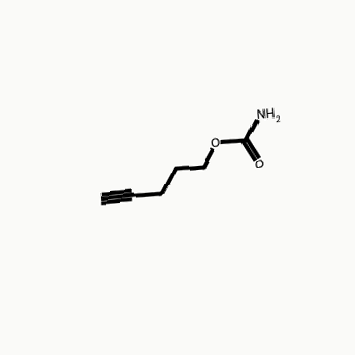 C#CCCCOC(N)=O